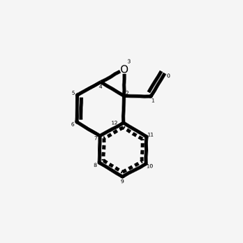 C=CC12OC1C=Cc1ccccc12